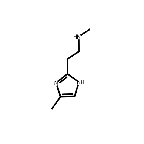 CNCCc1nc(C)c[nH]1